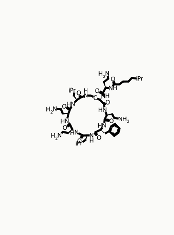 CC(C)CCCCC(=O)N[C@H](CCN)C(=O)N[C@H]1CCNC(=O)[C@H](CC(C)C)NC(=O)[C@H](CCN)NC(=O)[C@H](CCN)NC(=O)[C@H](CC(C)C)NC(=O)[C@@H](Cc2ccccc2)NC(=O)[C@H](CCN)NC1=O